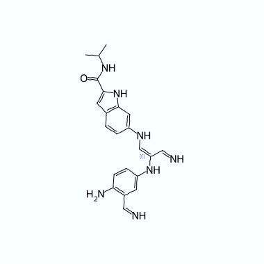 CC(C)NC(=O)c1cc2ccc(N/C=C(\C=N)Nc3ccc(N)c(C=N)c3)cc2[nH]1